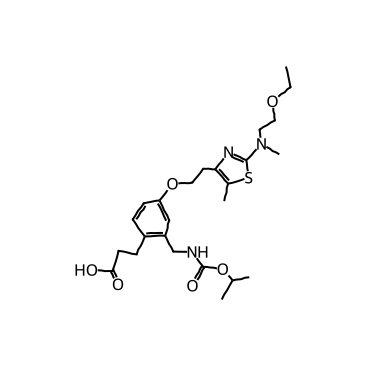 CCOCCN(C)c1nc(CCOc2ccc(CCC(=O)O)c(CNC(=O)OC(C)C)c2)c(C)s1